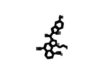 CC(=O)c1ccc2[nH]c(C(=O)N3C[C@@H](CCI)c4c3cc(O)c3cccc(C)c43)cc2c1